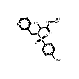 COc1ccc(S(=O)(=O)N(Cc2cccnc2)C(C(=O)NO)C(C)C)cc1.Cl